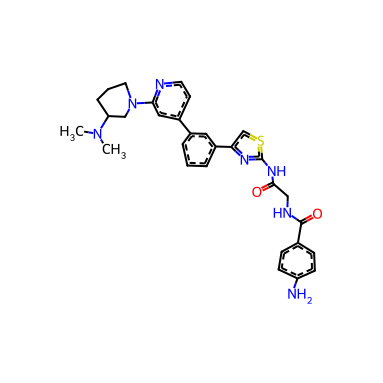 CN(C)C1CCCN(c2cc(-c3cccc(-c4csc(NC(=O)CNC(=O)c5ccc(N)cc5)n4)c3)ccn2)C1